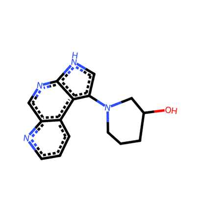 OC1CCCN(c2c[nH]c3ncc4ncccc4c23)C1